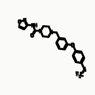 O=C(Nc1ccon1)N1CCN(Cc2cccc(Oc3ccc(SC(F)(F)F)cc3)c2)CC1